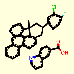 CC1(c2ccccc2)CC(c2ccc(F)c(Cl)c2)Cc2ccc3c(ccc4ccccc43)c21.O=C(O)c1ccc2ncccc2c1